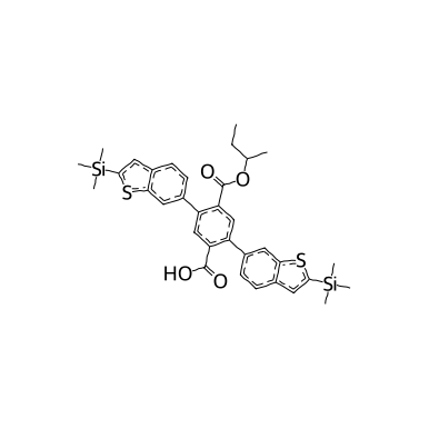 CCC(C)OC(=O)c1cc(-c2ccc3cc([Si](C)(C)C)sc3c2)c(C(=O)O)cc1-c1ccc2cc([Si](C)(C)C)sc2c1